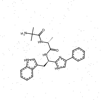 C[C@@H](NC(=O)C(C)(C)N)C(=O)N[C@H](Cc1c[nH]c2ccccc12)c1nc(-c2ccccc2)c[nH]1